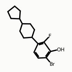 Oc1c(Br)ccc(C2CCC(C3CCCC3)CC2)c1F